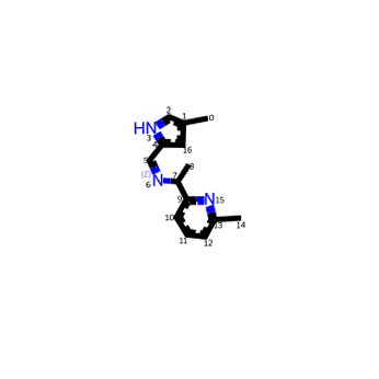 Cc1c[nH]c(/C=N\C(C)c2cccc(C)n2)c1